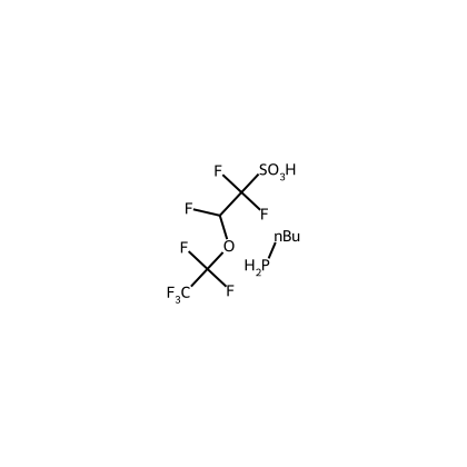 CCCCP.O=S(=O)(O)C(F)(F)C(F)OC(F)(F)C(F)(F)F